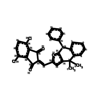 CC1(C)c2ccccc2N(c2ccccc2)c2oc(C=C3C(=O)c4c(Cl)ccc(Cl)c4C3=O)cc21